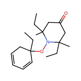 CCC1(ON2C(C)(CC)CC(=O)CC2(C)CC)C=CC=CC1